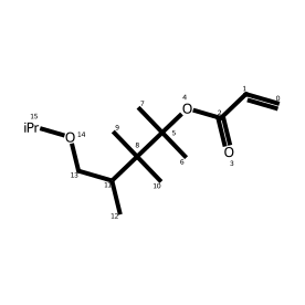 C=CC(=O)OC(C)(C)C(C)(C)C(C)COC(C)C